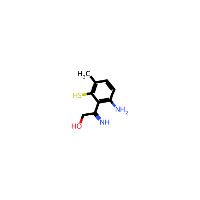 Cc1ccc(N)c(C(=N)CO)c1S